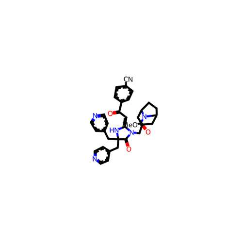 COC(=O)N1C2CCC1CC(CN1C(=O)C(Cc3ccncc3)(Cc3ccncc3)NC1=CC(=O)c1ccc(C#N)cc1)C2